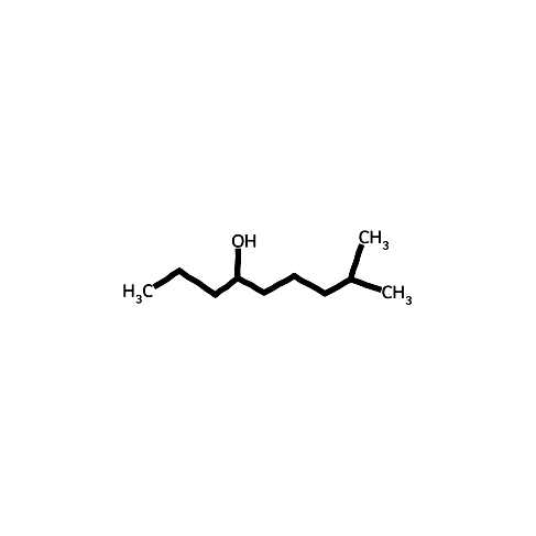 CCCC(O)CCCC(C)C